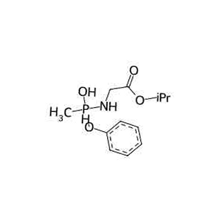 CC(C)OC(=O)CN[PH](C)(O)Oc1ccccc1